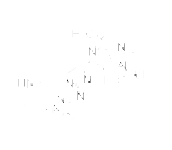 COc1nc(-c2ccnc(Nc3ccn(CC4CCNCC4)n3)n2)cc2c1ncn2C(C)C